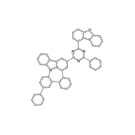 c1ccc(-c2ccc3c(c2)-c2ccccc2-c2cc(-c4nc(-c5ccccc5)nc(-c5cccc6oc7ccccc7c56)n4)cc4c5ccccc5n-3c24)cc1